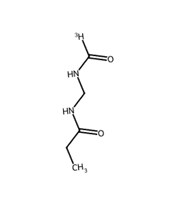 [3H]C(=O)NCNC(=O)CC